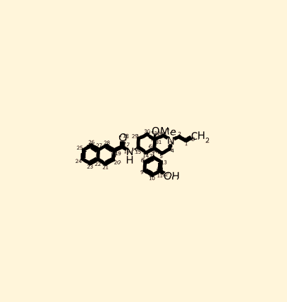 C=CCN1CC[C@@]2(c3cccc(O)c3)C[C@H](NC(=O)c3ccc4ccccc4c3)CC[C@]2(OC)C1